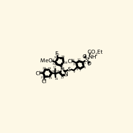 CCOC(=O)NS(=O)(=O)c1ccc(CSc2ncc(C(C)(C)c3ccc(Cl)c(Cl)c3)n2-c2ccc(F)c(OC)c2)c(Cl)c1